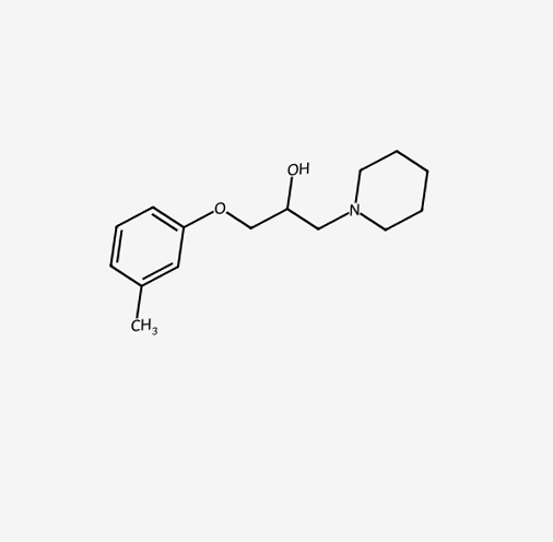 Cc1cccc(OCC(O)CN2CCCCC2)c1